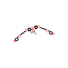 Cc1cc(OCCCCCCOCC2CCC3OC3C2)ccc1C(=O)Oc1ccc(OCCCCCCOCC2CCC3OC3C2)cc1